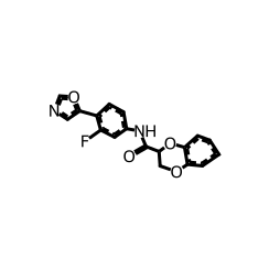 O=C(Nc1ccc(-c2cnco2)c(F)c1)C1COc2ccccc2O1